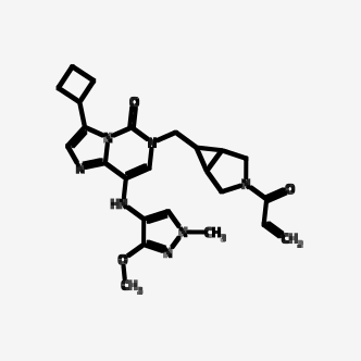 C=CC(=O)N1CC2C(C1)C2Cn1cc(Nc2cn(C)nc2OC)c2ncc(C3CCC3)n2c1=O